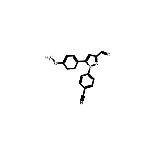 COC1=CC=C(c2cc(C=O)nn2-c2ccc(C#N)cc2)CC1